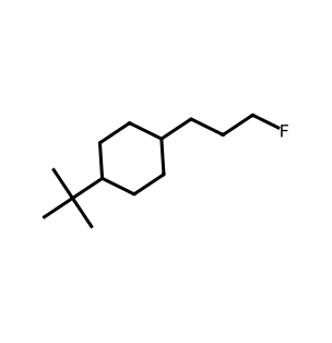 CC(C)(C)C1CCC(CCCF)CC1